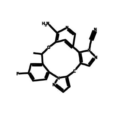 CC1Oc2cc(cnc2N)-c2c(cnn2C#N)Cc2ccnn2-c2ccc(F)cc21